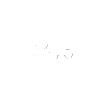 O=C(NCC(=O)N1CCOCC1)c1ccccc1